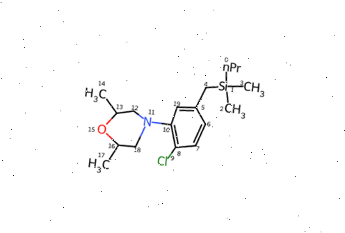 CCC[Si](C)(C)Cc1ccc(Cl)c(N2CC(C)OC(C)C2)c1